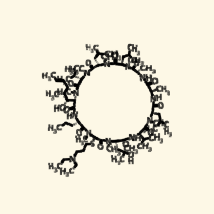 C/C=C/C[C@@H](C)[C@@H](O)[C@H]1C(=O)N[C@@H](CCC)C(=O)N(C)[C@H](SCCCN(CC)CC)C(=O)N(C)[C@@H](CC(C)(C)O)C(=O)N[C@H](C(C)C)C(=O)N(C)[C@H](CC(C)C)C(=O)N[C@H](C)C(=O)N[C@@H](C)C(=O)N(C)[C@H](CC(C)C)C(=O)N(C)[C@@H](CC(C)C)C(=O)N(C)[C@@H](C(C)C)C(=O)N1C